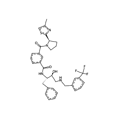 Cc1csc([C@H]2CCCN2C(=O)c2cccc(C(=O)N[C@@H](Cc3ccccc3)[C@@H](O)CNCc3cccc(C(F)(F)F)c3)c2)n1